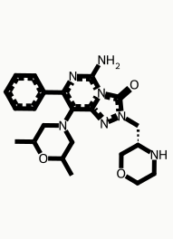 CC1CN(c2c(-c3ccccc3)nc(N)n3c(=O)n(C[C@H]4COCCN4)nc23)CC(C)O1